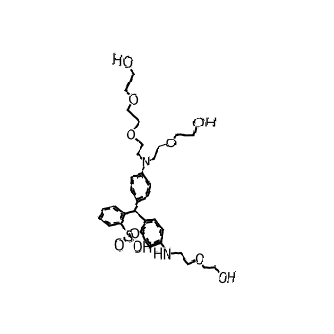 O=S(=O)(O)c1ccccc1C(c1ccc(NCCOCCO)cc1)c1ccc(N(CCOCCO)CCOCCOCCO)cc1